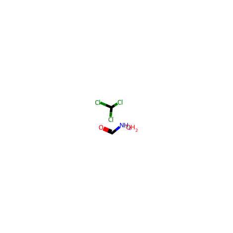 ClC(Cl)Cl.NC=O.O